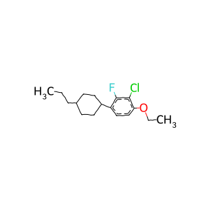 CCCC1CCC(c2ccc(OCC)c(Cl)c2F)CC1